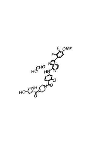 COc1ccc(-c2cnc3c(Nc4ccc(C(=O)N5CCN(C(=O)[C@@H]6C[C@@H](O)CN6)CC5)c(Cl)c4)nccn23)c(F)c1F.O=CO